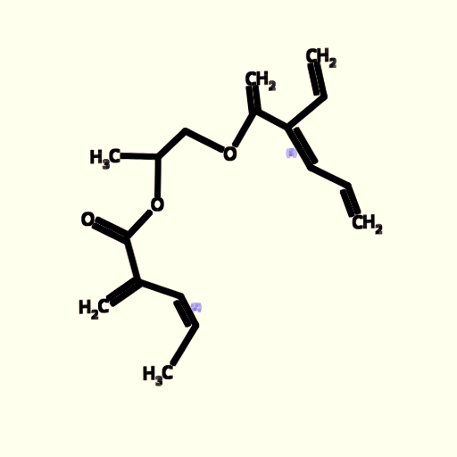 C=C/C=C(\C=C)C(=C)OCC(C)OC(=O)C(=C)/C=C\C